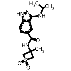 CC(C)Nc1n[nH]c2ccc(C(=O)NC3(C)CS(=O)(=O)C3)cc12